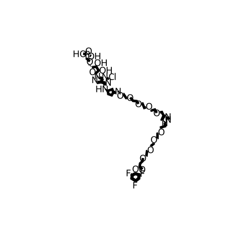 O=C(CCOCCOCCOCCOCCn1cc(COCCOCCOCCOCCO/N=C2\CC[C@@H](Nc3nc(Cl)nc4c3cnn4[C@@H]3O[C@H](COCP(=O)(O)O)[C@@H](O)[C@H]3O)C2)nn1)Oc1c(F)cc(F)cc1F